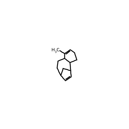 CC1=CCCC2C3C=CC(CCC12)C3